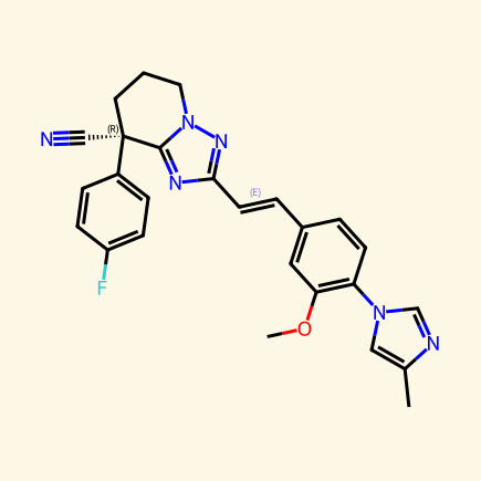 COc1cc(/C=C/c2nc3n(n2)CCC[C@]3(C#N)c2ccc(F)cc2)ccc1-n1cnc(C)c1